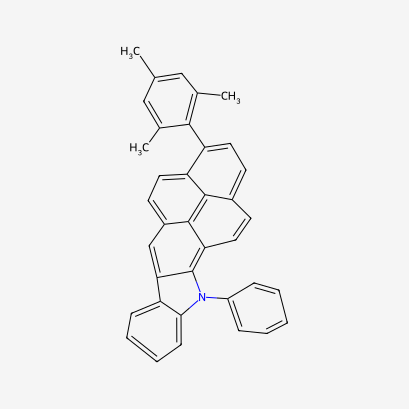 Cc1cc(C)c(-c2ccc3ccc4c5c(ccc2c35)cc2c3ccccc3n(-c3ccccc3)c24)c(C)c1